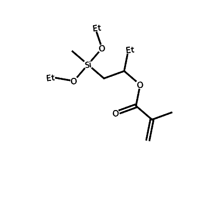 C=C(C)C(=O)OC(CC)C[Si](C)(OCC)OCC